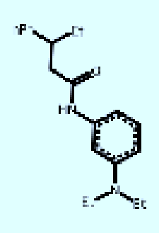 CCCC(CC)CC(=O)Nc1cccc(N(CC)CC)c1